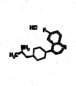 C[C@@H](N)C[C@H]1CC[C@@H](c2ccnc3ccc(F)cc32)CC1.Cl